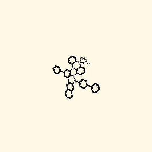 C[Si]1(C)c2ccccc2N2c3cc(-c4ccccc4)cc4c3B(c3cccc1c32)N(c1ccc(-c2ccccc2)cc1)c1cc2ccccc2cc1-4